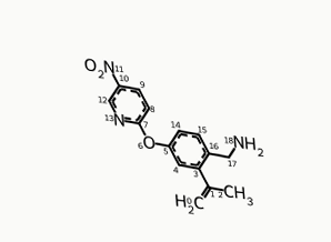 C=C(C)c1cc(Oc2ccc([N+](=O)[O-])cn2)ccc1CN